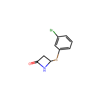 O=C1CC(Sc2cccc(Br)c2)N1